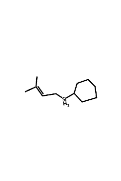 CC(C)=CC[SiH2]C1CCCCC1